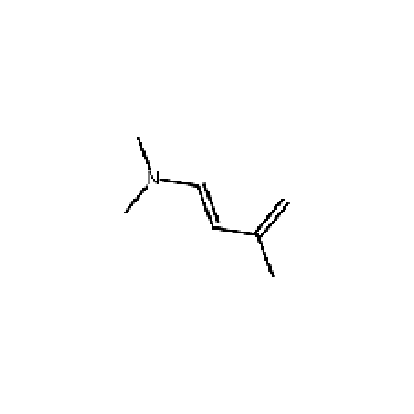 C=C(C)/C=C/N(C)C